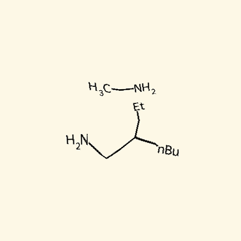 CCCCC(CC)CN.CN